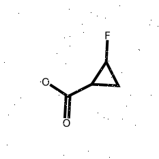 [O]C(=O)C1CC1F